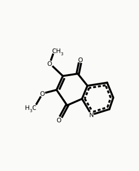 COC1=C(OC)C(=O)c2ncccc2C1=O